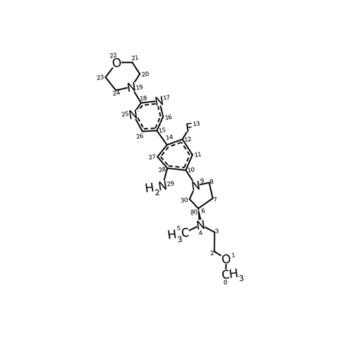 COCCN(C)[C@@H]1CCN(c2cc(F)c(-c3cnc(N4CCOCC4)nc3)cc2N)C1